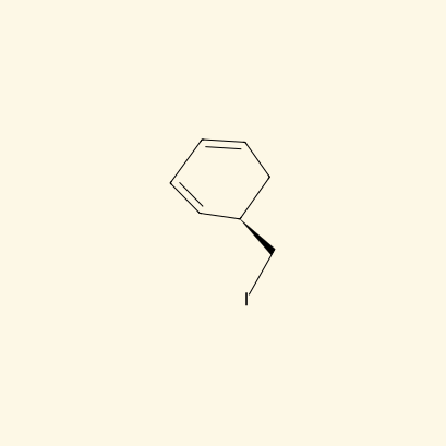 IC[C@H]1C=CC=CC1